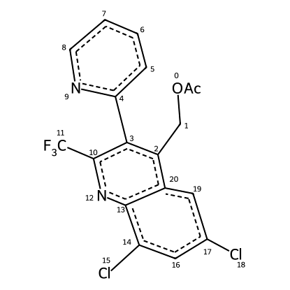 CC(=O)OCc1c(-c2ccccn2)c(C(F)(F)F)nc2c(Cl)cc(Cl)cc12